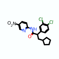 O=C(Nc1ccc([N+](=O)[O-])cn1)C(CC1CCCC1)c1ccc(Cl)c(Cl)c1